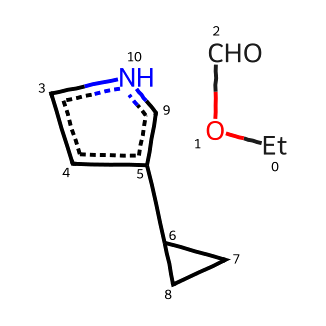 CCOC=O.c1cc(C2CC2)c[nH]1